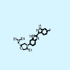 CC[C@H]1CO[C@H](CN(CC)CC)CN1c1ccc2nc(-c3n[nH]c4cc(F)ccc34)[nH]c2c1